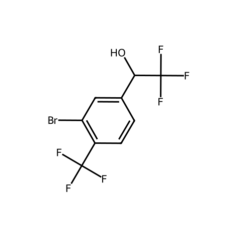 OC(c1ccc(C(F)(F)F)c(Br)c1)C(F)(F)F